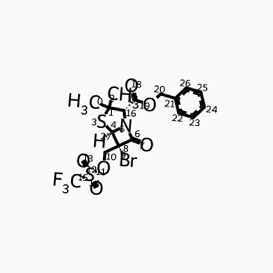 CC1(C)S[C@H]2N(C(=O)[C@@]2(Br)COS(=O)(=O)C(F)(F)F)[C@H]1C(=O)OCc1ccccc1